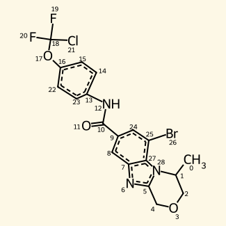 CC1COCc2nc3cc(C(=O)Nc4ccc(OC(F)(F)Cl)cc4)cc(Br)c3n21